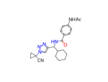 CC(=O)Nc1ccc(C(=O)NC(c2cn(C3(C#N)CC3)nn2)C2CCCCC2)cc1